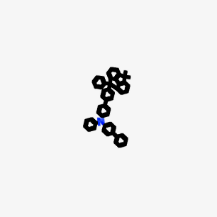 CC1(C)c2cccc3c2-c2c1cccc2C3(c1ccccc1)c1ccc(-c2ccc(N(c3ccccc3)c3ccc(-c4ccccc4)cc3)cc2)cc1